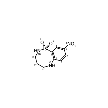 O=[N+]([O-])c1ccc2c(c1)S(=O)(=O)NCCCN2